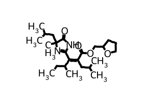 CCC(C)C(C1=NC(C)(CC(C)C)C(=O)N1)=C(CC(C)C)C(=O)OCC1CCCO1